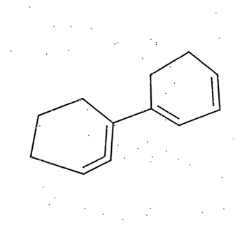 C1=CCCCC=1C1=CC=CCC1